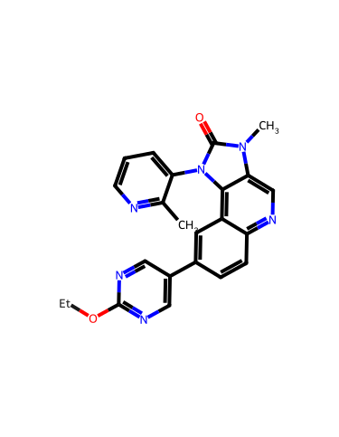 CCOc1ncc(-c2ccc3ncc4c(c3c2)n(-c2cccnc2C)c(=O)n4C)cn1